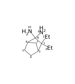 CCC1(CC)C2CCC(C2)C1(N)N